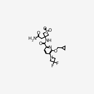 NC(=O)CC1(NC(=O)c2ccc(N3CC(F)(F)C3)c(OCC3CC3)n2)CS(=O)(=O)C1